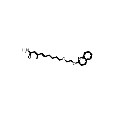 CC(/C=C/CCCCOCCOc1ccc2ccccc2n1)=C\C(N)=O